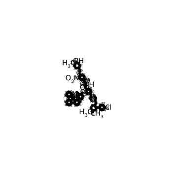 CC1(C)CCC(CN2CCN(c3ccc(C(=O)NS(=O)(=O)c4ccc(OCC5CCC(C)(O)CC5)c([N+](=O)[O-])c4)c(Oc4cccc5c4cnn5C(c4ccccc4)(c4ccccc4)c4ccccc4)c3)CC2)=C(c2ccc(Cl)cc2)C1